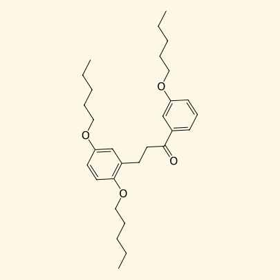 CCCCCOc1cccc(C(=O)CCc2cc(OCCCCC)ccc2OCCCCC)c1